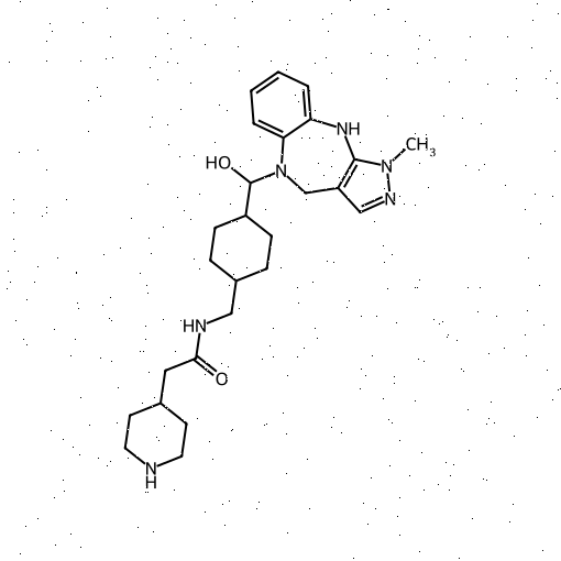 Cn1ncc2c1Nc1ccccc1N(C(O)C1CCC(CNC(=O)CC3CCNCC3)CC1)C2